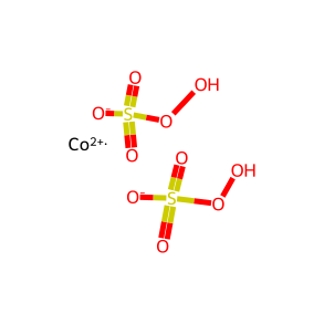 O=S(=O)([O-])OO.O=S(=O)([O-])OO.[Co+2]